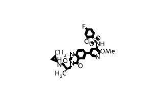 COc1ncc(-c2ccc3ncn(C[C@@H](C)C(=O)N[C@@H]4C[C@H]4C)c(=O)c3c2)cc1NS(=O)(=O)c1ccc(F)cc1Cl